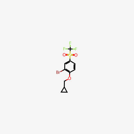 O=S(=O)(c1ccc(OCC2CC2)c(Br)c1)C(F)(F)F